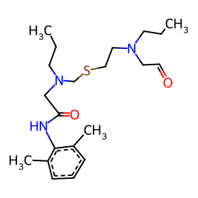 CCCN(CC=O)CCSCN(CCC)CC(=O)Nc1c(C)cccc1C